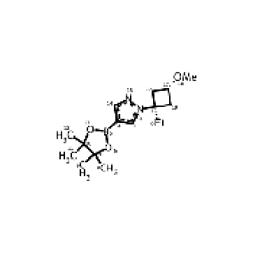 CC[C@]1(n2cc(B3OC(C)(C)C(C)(C)O3)cn2)C[C@H](OC)C1